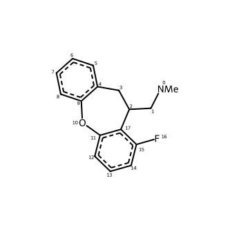 CNCC1Cc2ccccc2Oc2cccc(F)c21